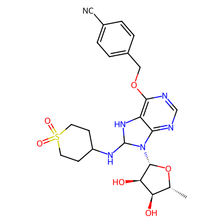 C[C@H]1O[C@@H](N2c3ncnc(OCc4ccc(C#N)cc4)c3NC2NC2CCS(=O)(=O)CC2)[C@H](O)[C@@H]1O